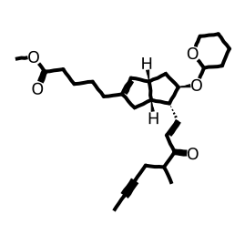 CC#CCC(C)C(=O)C=C[C@@H]1[C@@H]2CC(CCCCC(=O)OC)=C[C@@H]2C[C@H]1OC1CCCCO1